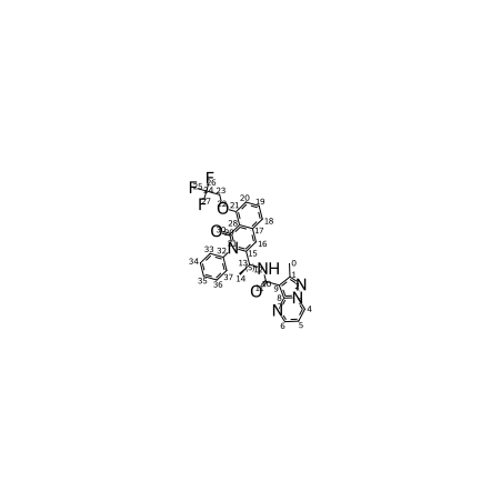 Cc1nn2cccnc2c1C(=O)N[C@@H](C)c1cc2cccc(OCC(F)(F)F)c2c(=O)n1-c1ccccc1